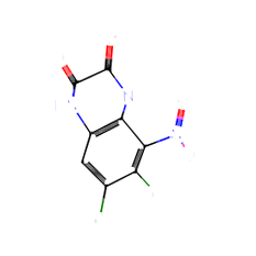 O=C1[N]c2c(cc(Cl)c(Cl)c2[N+](=O)[O-])NC1=O